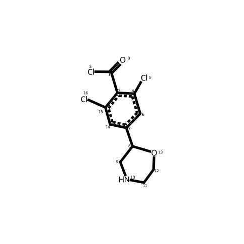 O=C(Cl)c1c(Cl)cc(C2CNCCO2)cc1Cl